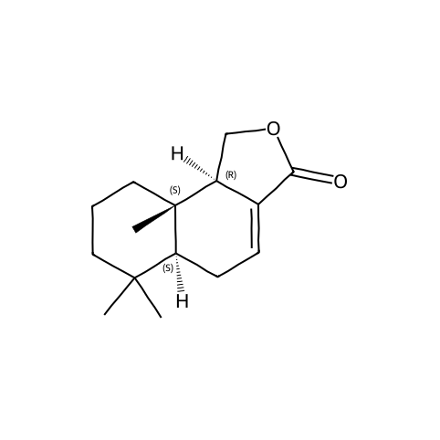 CC1(C)CCC[C@]2(C)[C@H]3COC(=O)C3=CC[C@@H]12